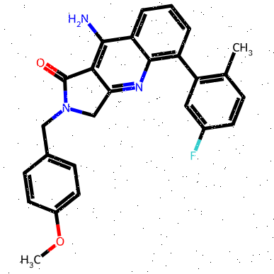 COc1ccc(CN2Cc3nc4c(-c5cc(F)ccc5C)cccc4c(N)c3C2=O)cc1